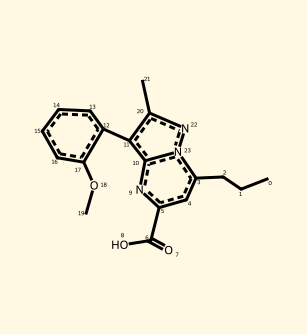 CCCc1cc(C(=O)O)nc2c(-c3ccccc3OC)c(C)nn12